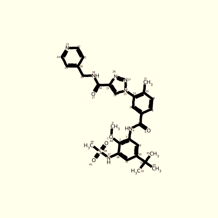 COc1c(NC(=O)c2ccc(C)c(-n3cc(C(=O)NCc4ccncc4)nn3)c2)cc(C(C)(C)C)cc1NS(C)(=O)=O